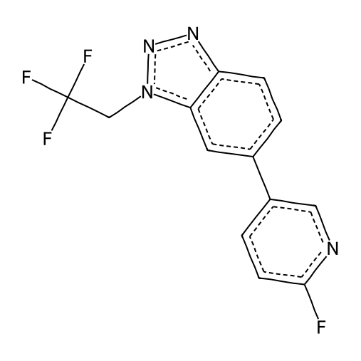 Fc1ccc(-c2ccc3nnn(CC(F)(F)F)c3c2)cn1